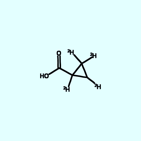 [2H]C1C([2H])([2H])C1([2H])C(=O)O